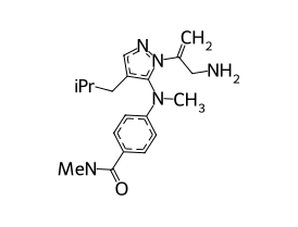 C=C(CN)n1ncc(CC(C)C)c1N(C)c1ccc(C(=O)NC)cc1